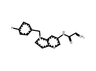 C=CC(=O)Nc1cnc2ccn(Cc3ccc(F)cc3)c2c1